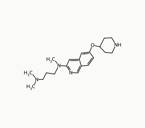 CN(C)CCCN(C)c1cc2cc(OC3CCNCC3)ccc2cn1